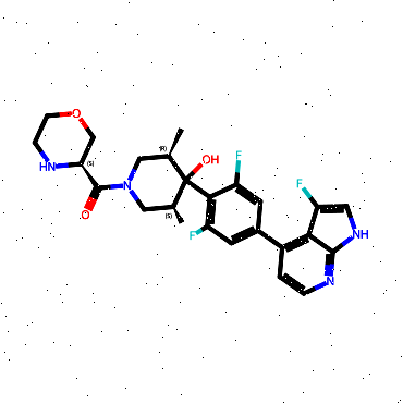 C[C@@H]1CN(C(=O)[C@@H]2COCCN2)C[C@H](C)C1(O)c1c(F)cc(-c2ccnc3[nH]cc(F)c23)cc1F